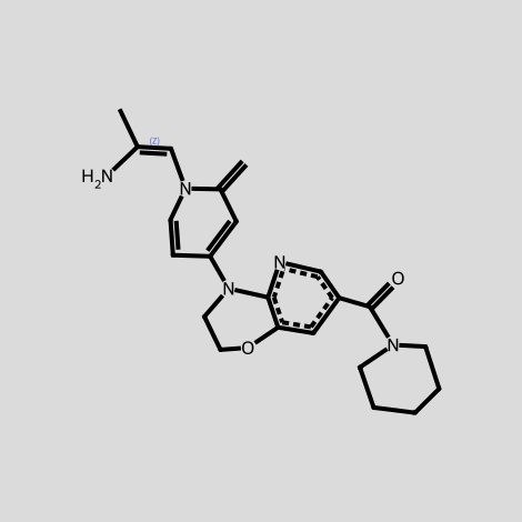 C=C1C=C(N2CCOc3cc(C(=O)N4CCCCC4)cnc32)C=CN1/C=C(/C)N